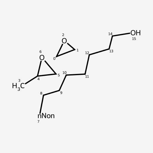 C1CO1.CC1CO1.CCCCCCCCCCCCCCCCO